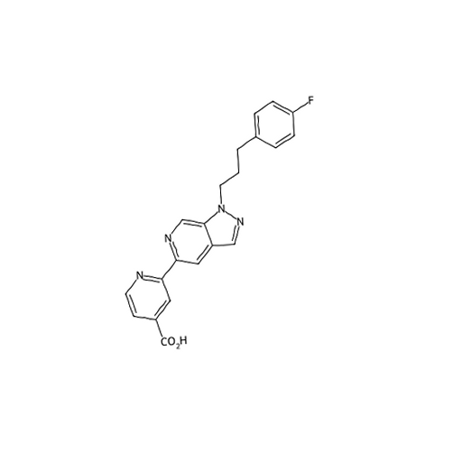 O=C(O)c1ccnc(-c2cc3cnn(CCCc4ccc(F)cc4)c3cn2)c1